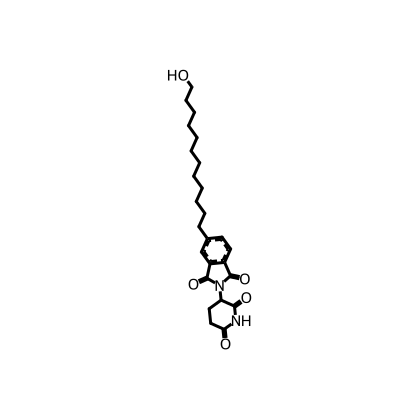 O=C1CCC(N2C(=O)c3ccc(CCCCCCCCCCCCO)cc3C2=O)C(=O)N1